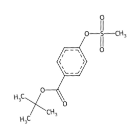 CC(C)(C)OC(=O)c1ccc(OS(C)(=O)=O)cc1